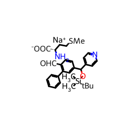 CC(C)(C)[Si](C)(C)OC(c1ccncc1)c1ccc(C=O)c(-c2ccccc2)c1.CSCC[C@H](N)C(=O)[O-].[Na+]